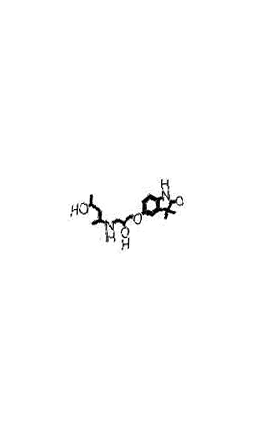 CC(O)CC(C)NCC(O)COc1ccc2c(c1)C(C)(C)C(=O)N2